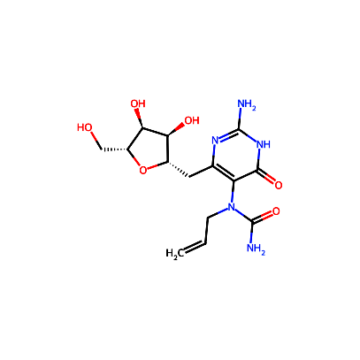 C=CCN(C(N)=O)c1c(C[C@@H]2O[C@H](CO)[C@@H](O)[C@H]2O)nc(N)[nH]c1=O